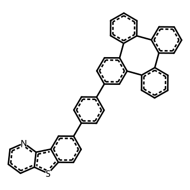 c1ccc2c(c1)-c1ccccc1-c1ccc(-c3ccc(-c4ccc5sc6cccnc6c5c4)cc3)cc1-c1ccccc1-2